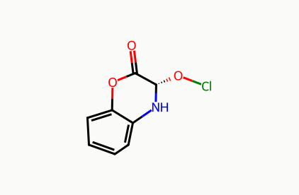 O=C1Oc2ccccc2N[C@H]1OCl